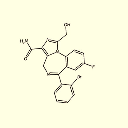 NC(=O)c1nc(CO)n2c1CN=C(c1ccccc1Br)c1cc(F)ccc1-2